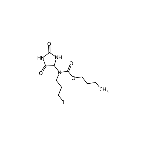 CCCCOC(=O)N(CCCI)C1NC(=O)NC1=O